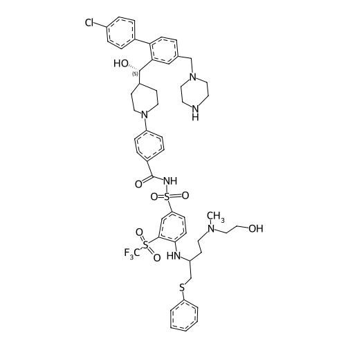 CN(CCO)CCC(CSc1ccccc1)Nc1ccc(S(=O)(=O)NC(=O)c2ccc(N3CCC([C@H](O)c4cc(CN5CCNCC5)ccc4-c4ccc(Cl)cc4)CC3)cc2)cc1S(=O)(=O)C(F)(F)F